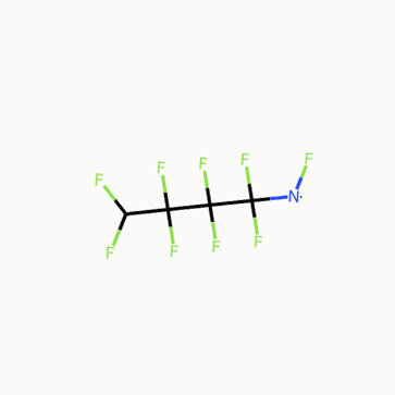 F[N]C(F)(F)C(F)(F)C(F)(F)C(F)F